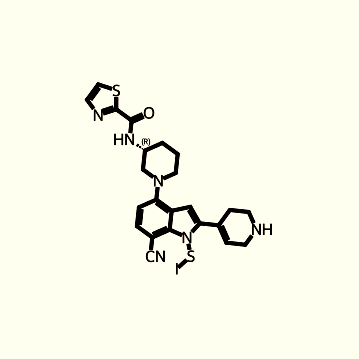 N#Cc1ccc(N2CCC[C@@H](NC(=O)c3nccs3)C2)c2cc(C3=CCNCC3)n(SI)c12